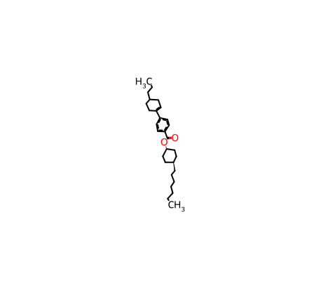 CCCCCCC[C@H]1CC[C@H](OC(=O)c2ccc(C3=CCC(CCC)CC3)cc2)CC1